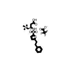 C[N+](C)(C)C[C@@H](CC(=O)O)NS(=O)(=O)c1ccc(CCc2ccccc2)s1.O=C([O-])C(F)(F)F